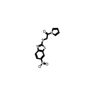 O=C(CSc1nc2ccc([N+](=O)[O-])cc2s1)n1cccc1